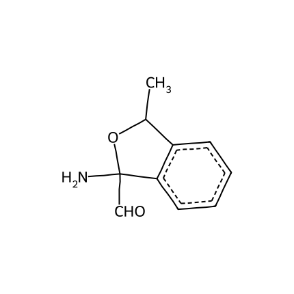 CC1OC(N)(C=O)c2ccccc21